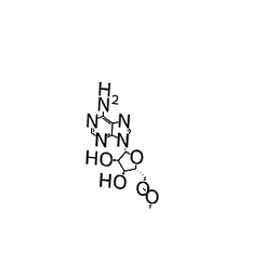 COOC[C@H]1O[C@@H](n2cnc3c(N)ncnc32)[C@H](O)[C@@H]1O